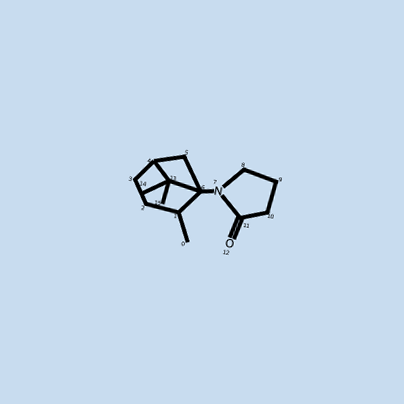 CC1CCC2CC1(N1CCCC1=O)C2(C)C